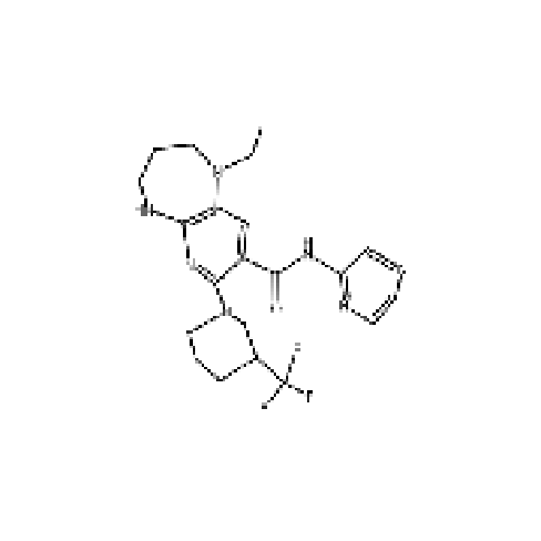 CCN1CCCNc2nc(N3CCCC(C(F)(F)F)C3)c(C(=O)Nc3cnccn3)cc21